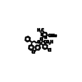 COc1cc(C)nc(OC(C(=O)O)C(OCCC(c2ccccc2)c2ccccc2)(c2ccc(Cl)cc2)c2ccc(Cl)cc2)n1